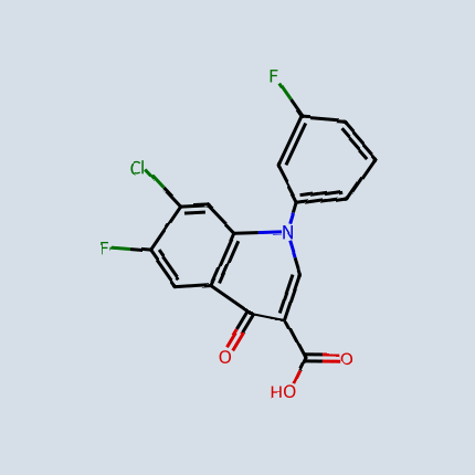 O=C(O)c1cn(-c2cccc(F)c2)c2cc(Cl)c(F)cc2c1=O